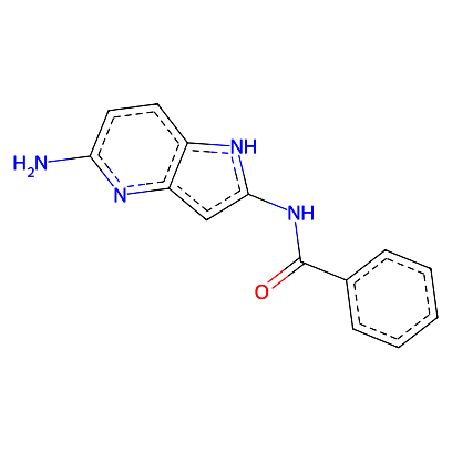 Nc1ccc2[nH]c(NC(=O)c3ccccc3)cc2n1